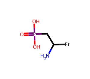 CCC(N)CP(=O)(O)O